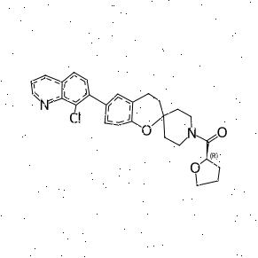 O=C([C@H]1CCCO1)N1CCC2(CCc3cc(-c4ccc5cccnc5c4Cl)ccc3O2)CC1